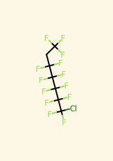 FC(F)(F)CC(F)(F)C(F)(F)C(F)(F)C(F)(F)C(F)(F)Cl